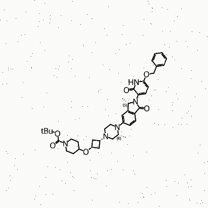 C[C@@H]1CN([C@H]2C[C@H](OC3CCN(C(=O)OC(C)(C)C)CC3)C2)CCN1c1ccc2c(c1)[C@H](C)N(c1ccc(OCc3ccccc3)[nH]c1=O)C2=O